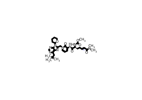 COC(=O)N[C@@H](CC/C=C/C(=O)N(C)C)C(=O)Nc1cccn(Cc2nc3c(CC(C)(C)C)ncnc3n2C2CCCCO2)c1=O